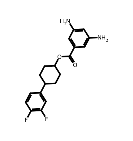 Nc1cc(N)cc(C(=O)OC2CCC(c3ccc(F)c(F)c3)CC2)c1